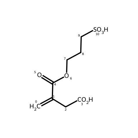 C=C(CC(=O)O)C(=O)OCCCS(=O)(=O)O